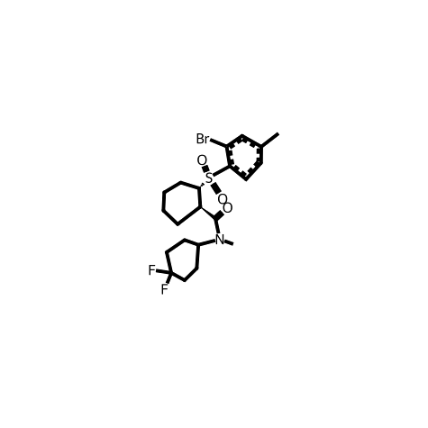 Cc1ccc(S(=O)(=O)[C@H]2CCCC[C@@H]2C(=O)N(C)C2CCC(F)(F)CC2)c(Br)c1